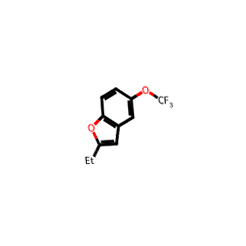 CCc1cc2cc(OC(F)(F)F)ccc2o1